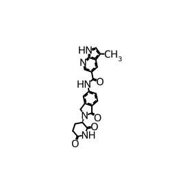 Cc1c[nH]c2ncc(C(=O)Nc3ccc4c(c3)CN([C@@H]3CCC(=O)NC3=O)C4=O)cc12